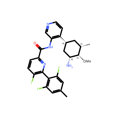 CO[C@@H]1[C@H](N)C[C@H](c2ccncc2NC(=O)c2ccc(F)c(-c3c(F)cc(C)cc3F)n2)C[C@@H]1C